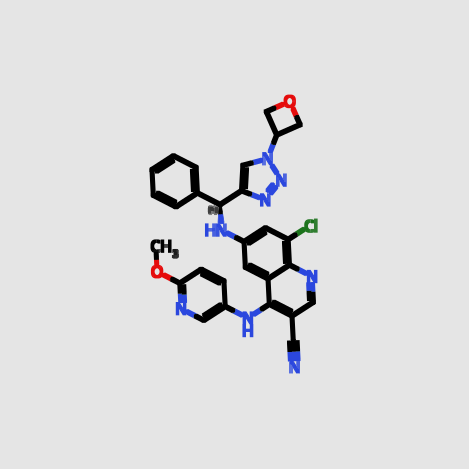 COc1ccc(Nc2c(C#N)cnc3c(Cl)cc(N[C@@H](c4ccccc4)c4cn(C5COC5)nn4)cc23)cn1